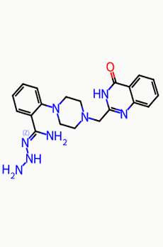 NN/N=C(\N)c1ccccc1N1CCN(Cc2nc3ccccc3c(=O)[nH]2)CC1